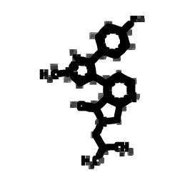 CC(C)CN1Cc2nccc(-c3cn(C)nc3-c3ccc(F)cc3)c2C1=O